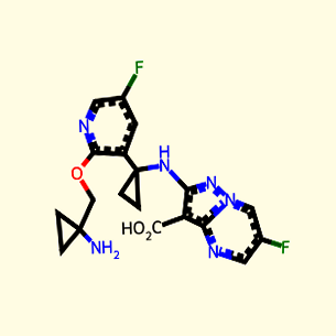 NC1(COc2ncc(F)cc2C2(Nc3nn4cc(F)cnc4c3C(=O)O)CC2)CC1